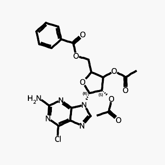 CC(=O)OC1C(COC(=O)c2ccccc2)O[C@@H](n2cnc3c(Cl)nc(N)nc32)[C@H]1OC(C)=O